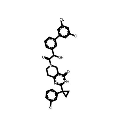 N#Cc1cc(Cl)cc(-c2cccc(C(O)C(=O)N3CCc4nc(C5(c6cccc(Cl)c6)CC5)[nH]c(=O)c4C3)c2)c1